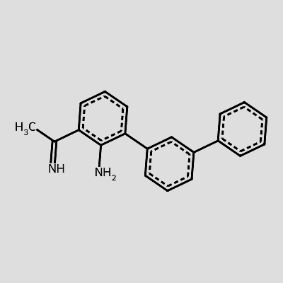 CC(=N)c1cccc(-c2cccc(-c3ccccc3)c2)c1N